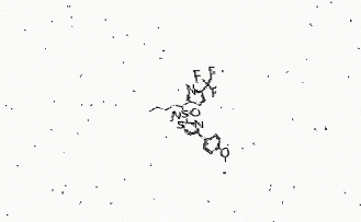 CCCCC(c1ccc(C(F)(F)F)nc1)S(=O)(=NC)c1nc(-c2ccc(OC)cc2)cs1